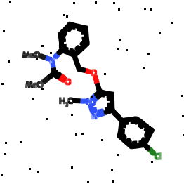 COC(=O)N(OC)c1ccccc1COc1cc(-c2ccc(Cl)cc2)nn1C